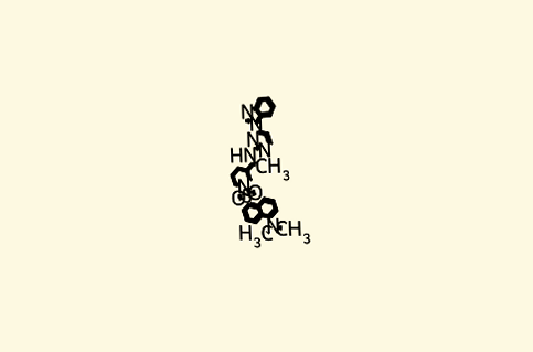 CC(Nc1nccc(-n2cnc3ccccc32)n1)C1CCCN(S(=O)(=O)c2cccc3c(N(C)C)cccc23)C1